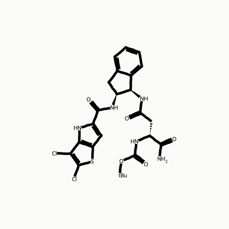 CC(C)(C)OC(=O)N[C@H](CC(=O)N[C@@H]1c2ccccc2C[C@@H]1NC(=O)c1cc2sc(Cl)c(Cl)c2[nH]1)C(N)=O